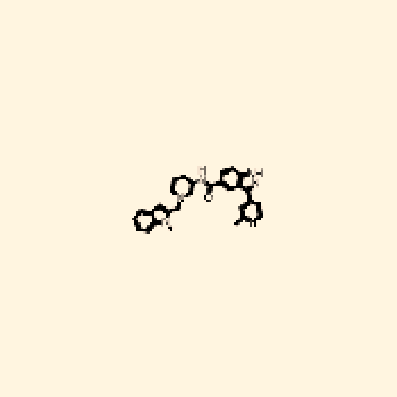 Cc1cc(-c2n[nH]c3ccc(C(=O)N[C@@H]4CCCN(Cc5cc6ccccc6n5C)C4)cc23)ccn1